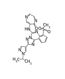 CC(C)n1cc(-c2nc3c4cccc(S(C)(=O)=O)c4nc(Nc4cnccnc4=O)n3n2)cn1